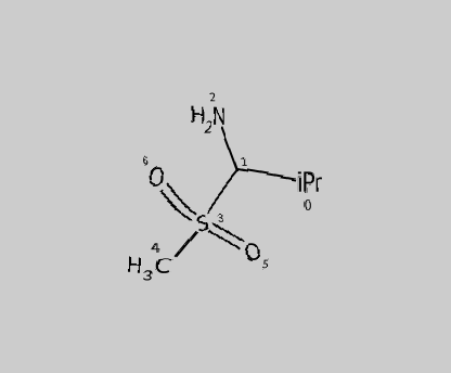 CC(C)C(N)S(C)(=O)=O